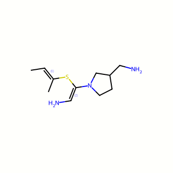 C/C=C(\C)S/C(=C\N)N1CCC(CN)C1